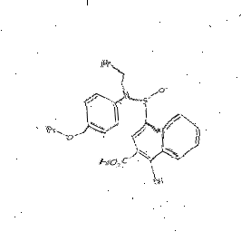 CC(C)CN(c1ccc(OC(C)C)cc1)[S+]([O-])c1cc(C(=O)O)c(O)c2ccccc12